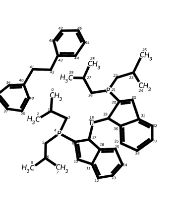 CC(C)CP(CC(C)C)C1=Cc2ccccc2[CH]1[Ti][CH]1C(P(CC(C)C)CC(C)C)=Cc2ccccc21.c1ccc(CCc2ccccc2)cc1